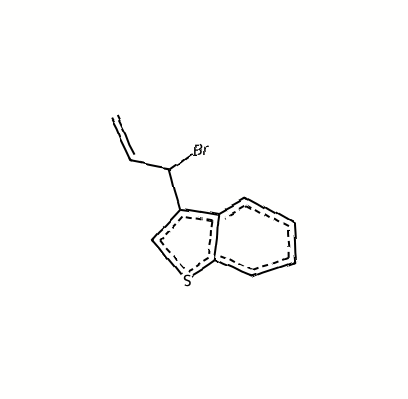 C=CC(Br)c1csc2ccccc12